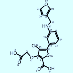 O=C(O)COc1c(C(=O)O)sc(-c2cccc(NCc3ccoc3)c2)c1Cl